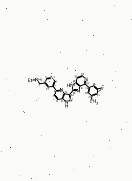 CCNCc1cncc(-c2ccc3[nH]nc(-c4nc5c(-c6cc(C)cc(F)c6)nccc5[nH]4)c3n2)c1